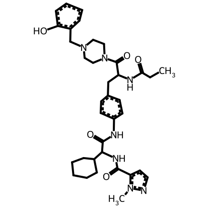 CCC(=O)NC(Cc1ccc(NC(=O)C(NC(=O)c2ccnn2C)C2CCCCC2)cc1)C(=O)N1CCN(Cc2ccccc2O)CC1